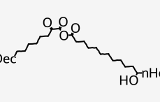 CCCCCCCCCCCCCCCCC(=O)C(=O)OC(=O)CCCCCCCCCCC(O)CCCCCC